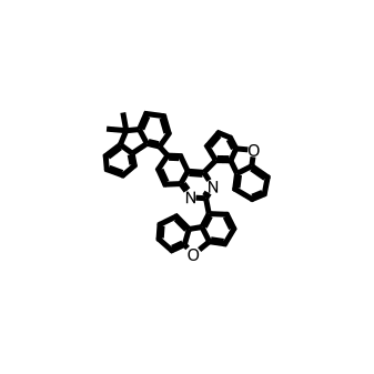 CC1(C)c2ccccc2-c2c(-c3ccc4nc(-c5cccc6oc7ccccc7c56)nc(-c5cccc6oc7ccccc7c56)c4c3)cccc21